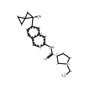 N#C[C@]1(c2ccc3cnc(NC(=O)[C@@H]4CCN(CC(F)(F)F)C4)cc3c2)CC12CC2